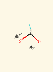 [Au+].[Au+].[O-]B([O-])F